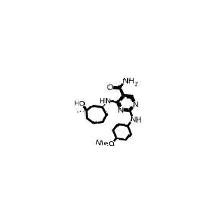 COC1CCC(Nc2ncc(C(N)=O)c(N[C@@H]3CCCC[C@@](C)(O)C3)n2)CC1